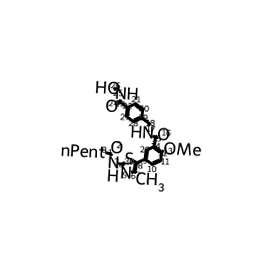 CCCCCC(=O)Nc1nc(C)c(-c2ccc(OC)c(C(=O)NCc3ccc(C(=O)NO)cc3)c2)s1